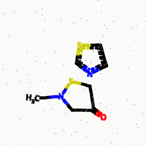 CN1CC(=O)CS1.c1cscn1